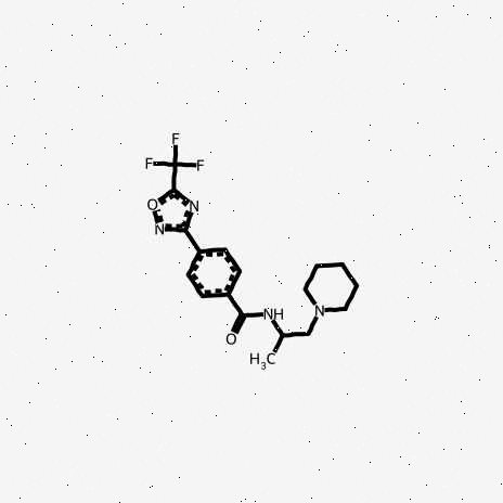 CC(CN1CCCCC1)NC(=O)c1ccc(-c2noc(C(F)(F)F)n2)cc1